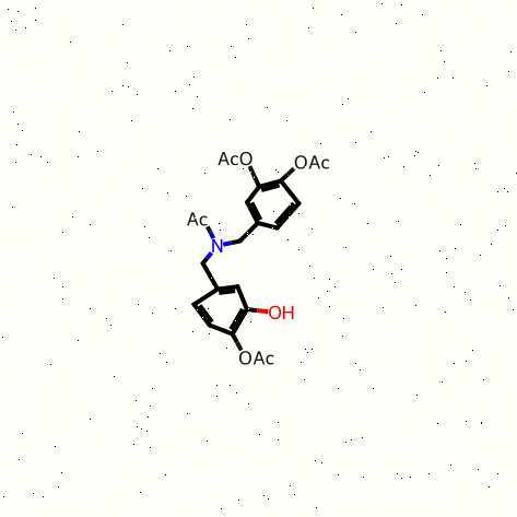 CC(=O)Oc1ccc(CN(Cc2ccc(OC(C)=O)c(OC(C)=O)c2)C(C)=O)cc1O